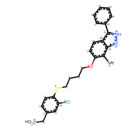 CCCc1c(OCCCCSc2ccc(CC(=O)O)cc2Cl)ccc2c(-c3ccccc3)[nH]nc12